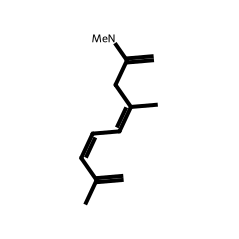 C=C(C)/C=C\C=C(\C)CC(=C)NC